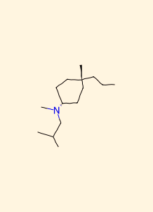 CCC[C@]1(C)CC[C@H](N(C)CC(C)C)CC1